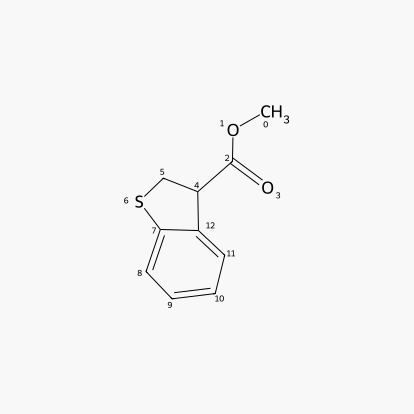 COC(=O)C1CSc2ccccc21